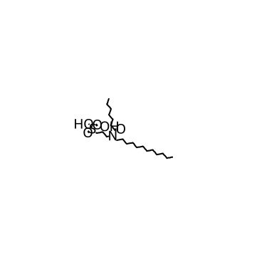 CCCCCCCCCCCCN(CC(O)CS(=O)(=O)O)C(=O)CCCCCC